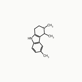 Cc1ccc2[nH]c3c(c2c1)C(C)N(C)CC3